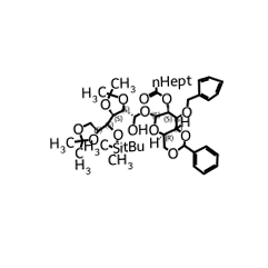 CCCCCCCC(=O)O[C@@H]1[C@H](OC(O)[C@H]2OC(C)(C)O[C@@H]2[C@@H](O[Si](C)(C)C(C)(C)C)[C@@H]2COC(C)(C)O2)O[C@@H]2COC(c3ccccc3)O[C@H]2[C@@H]1OCc1ccccc1